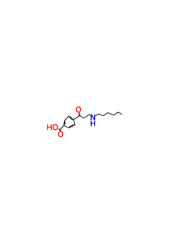 CCCCCCNCCC(=O)c1ccc(C(=O)O)cc1